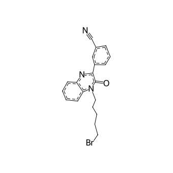 N#Cc1cccc(-c2nc3ccccc3n(CCCCCBr)c2=O)c1